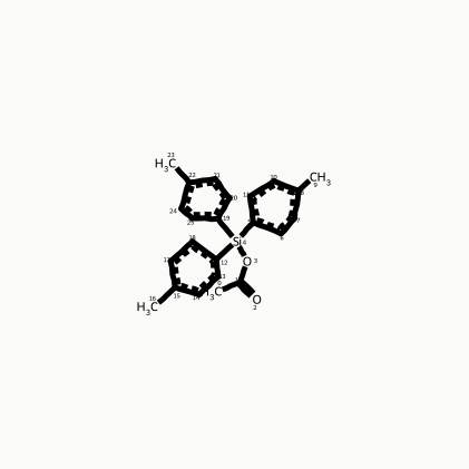 CC(=O)O[Si](c1ccc(C)cc1)(c1ccc(C)cc1)c1ccc(C)cc1